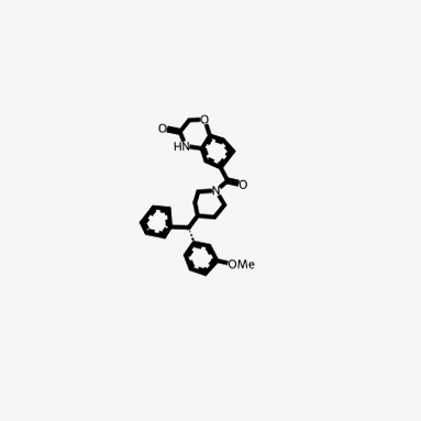 COc1cccc([C@H](c2ccccc2)C2CCN(C(=O)c3ccc4c(c3)NC(=O)CO4)CC2)c1